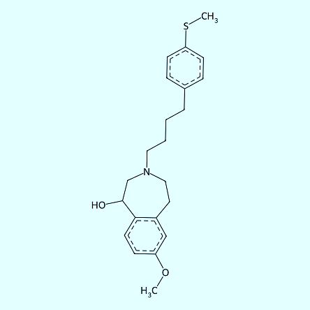 COc1ccc2c(c1)CCN(CCCCc1ccc(SC)cc1)CC2O